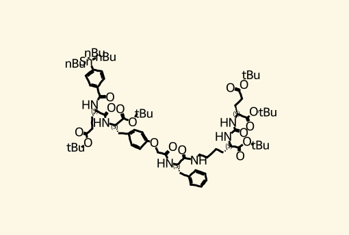 CCC[CH2][Sn]([CH2]CCC)([CH2]CCC)[c]1ccc(C(=O)N[C@@H](CCC(=O)OC(C)(C)C)C(=O)N[C@@H](Cc2ccc(OCC(=O)N[C@@H](Cc3ccccc3)C(=O)NCCCC[C@H](NC(=O)N[C@@H](CCC(=O)OC(C)(C)C)C(=O)OC(C)(C)C)C(=O)OC(C)(C)C)cc2)C(=O)OC(C)(C)C)cc1